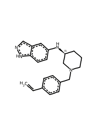 C=Cc1ccc(CN2CCC[C@H](Nc3ccc4[nH]ncc4c3)C2)cc1